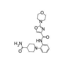 NC(=O)C1CCN(c2ccccc2NC(=O)c2coc(N3CCOCC3)n2)CC1